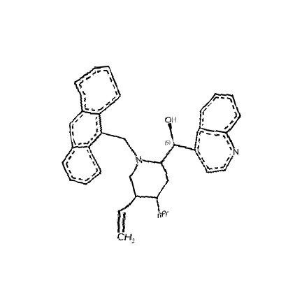 C=CC1CN(Cc2c3ccccc3cc3ccccc23)C([C@@H](O)c2ccnc3ccccc23)CC1CCC